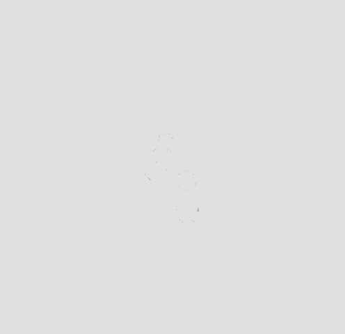 CCCCc1cn(C2CCCCCC2CC)c(=O)n1CC1(c2cccc(-c3nnn[nH]3)c2)C=CN=CC1